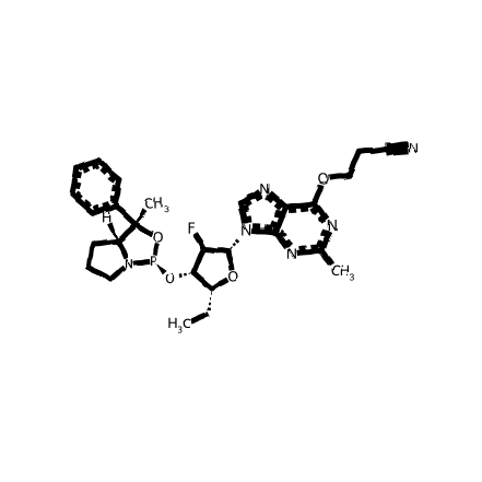 CC[C@H]1O[C@@H](n2cnc3c(OCCC#N)nc(C)nc32)C(F)[C@H]1O[P@]1O[C@@](C)(c2ccccc2)[C@H]2CCCN21